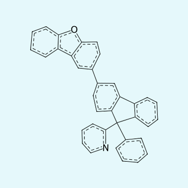 c1ccc(C2(c3ccccn3)c3ccccc3-c3cc(-c4ccc5oc6ccccc6c5c4)ccc32)cc1